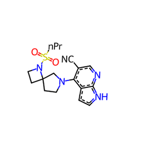 CCCS(=O)(=O)N1CCC12CCN(c1c(C#N)cnc3[nH]ccc13)C2